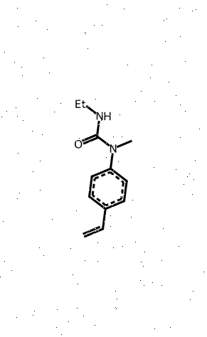 C=Cc1ccc(N(C)C(=O)NCC)cc1